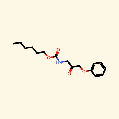 CCCCCCOC(=O)NCC(=O)COc1ccccc1